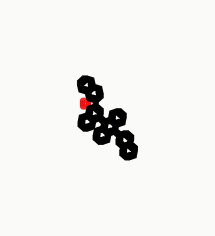 c1ccc2cc(-c3c4ccccc4c(-c4cc5c6ccc7ccccc7c6oc5c5ccccc45)c4ccccc34)ccc2c1